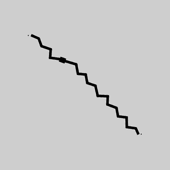 [CH2]CCCCC#CCCCCCCCCCCCCC[CH2]